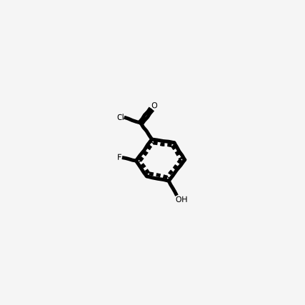 O=C(Cl)c1ccc(O)cc1F